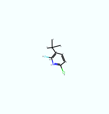 CC(C)(C)c1ccc(Cl)nc1F